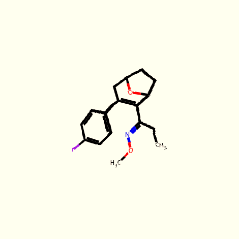 CCC(=NOC)C1=C(c2ccc(I)cc2)CC2CCC1O2